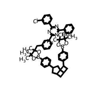 CC1(C)OB(c2ccc(C3CC4CC5CC(c6ccc(B7OC(C)(C)C(C)(Cc8cccc(-c9nc(-c%10ccccc%10)nc(-c%10cccc(Cl)c%10)n9)c8)O7)cc6)CC543)cc2)OC1(C)C